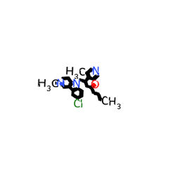 CCCCC(=O)CC(Cn1c2c(c3cc(Cl)ccc31)CN(C)CC2)c1ccncc1C